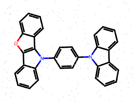 c1ccc2c(c1)oc1c3ccccc3n(-c3ccc(-n4c5ccccc5c5ccccc54)cc3)c21